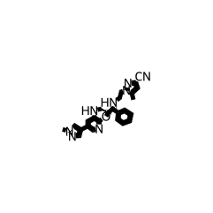 Cc1cc(C#N)nn1CCN[C@H](c1ccccc1)[C@@H]1CNc2cc(-c3cnn(C)c3)cnc2O1